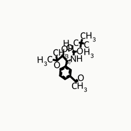 CC(=O)c1ccc2c(c1)[C@H](NC(=O)OC(C)(C)C)[C@H](O)C(C)(C)O2